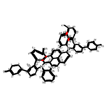 Cc1ccc(-c2ccc(N(C3=C4C=CC5=C6C(=CC=C(C=C3)C46)C(N(c3ccc(-c4ccc(C)cc4)cc3-c3ccc(C)cc3)c3ccccc3C(F)(F)F)C=C5)c3ccccc3C(F)(F)F)c(-c3ccc(C)cc3)c2)cc1